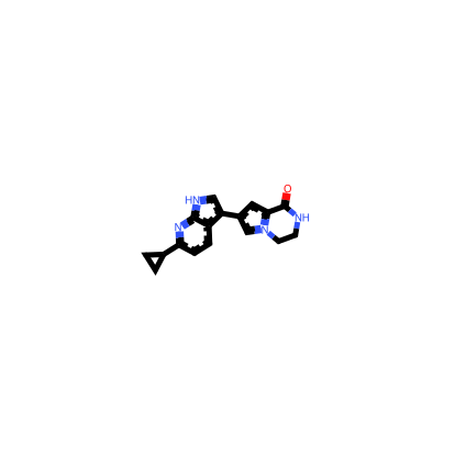 O=C1NCCn2cc(-c3c[nH]c4nc(C5CC5)ccc34)cc21